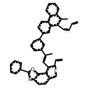 C=C/C=C\c1c(C)c2ccccc2c2ccc(-c3cccc(/C(C)=C/c4c(C=C)ccc5ccc6nc(-c7ccccc7)oc6c45)c3)cc12